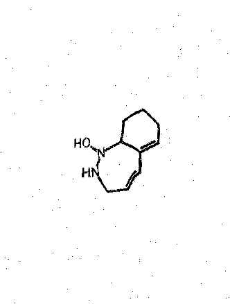 ON1NCC=CC2=CCCCC21